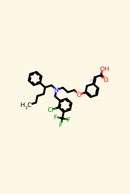 CCCCC(CN(CCCOC1=CC=C/C(=C\C(=O)O)C1)Cc1cccc(C(F)(F)F)c1Cl)c1ccccc1